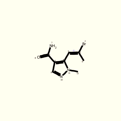 C/C(Br)=C\c1c(C(N)=O)cnn1C